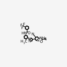 Cc1ccc(NC(=O)c2cccc(C(F)(F)F)c2)cc1-n1cc(-c2cnc(NC(=O)C3CC3)cc2C#N)cn1